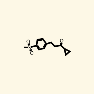 CS(=O)(=O)c1ccc(CCC(=O)C2CC2)cc1